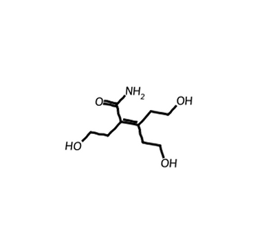 NC(=O)C(CCO)=C(CCO)CCO